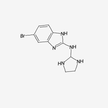 Brc1ccc2[nH]c(NC3NCCN3)nc2c1